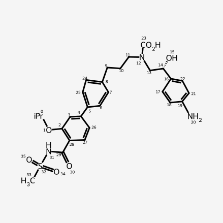 CC(C)Oc1cc(-c2ccc(CCCN(C[C@H](O)c3ccc(N)cc3)C(=O)O)cc2)ccc1C(=O)NS(C)(=O)=O